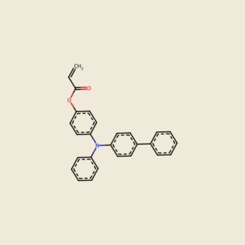 C=CC(=O)Oc1ccc(N(c2ccccc2)c2ccc(-c3ccccc3)cc2)cc1